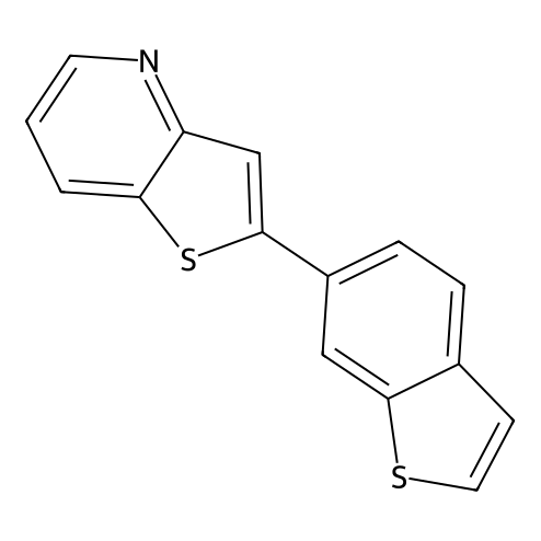 c1cnc2cc(-c3ccc4ccsc4c3)sc2c1